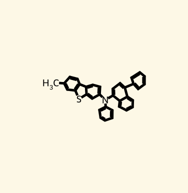 Cc1ccc2c(c1)sc1cc(N(c3ccccc3)c3ccc(-c4ccccc4)c4ccccc34)ccc12